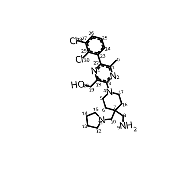 Cc1nc(N2CCC(CN)(CN3CCCC3)CC2)c(CO)nc1-c1cccc(Cl)c1Cl